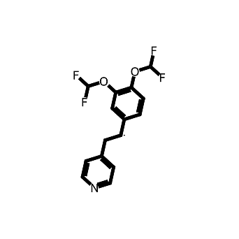 FC(F)Oc1ccc([CH]Cc2ccncc2)cc1OC(F)F